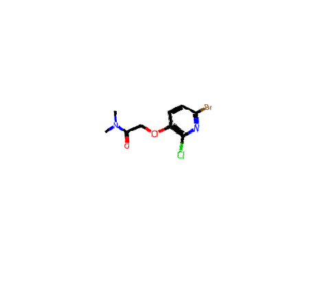 CN(C)C(=O)COc1ccc(Br)nc1Cl